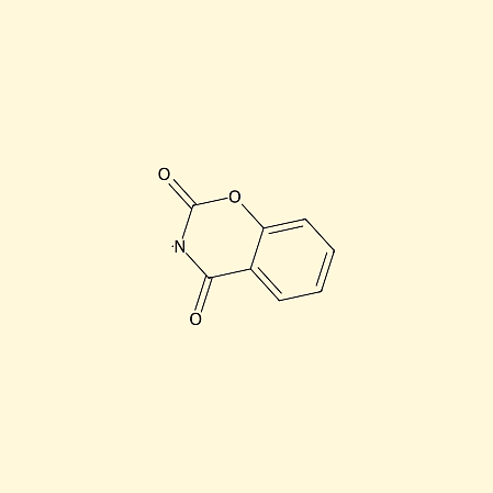 O=C1[N]C(=O)c2ccccc2O1